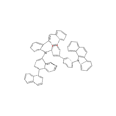 c1cc(-c2cccc(-n3c4ccccc4c4ccc5ccccc5c43)c2)cc(N(c2ccccc2-c2ccc3ccccc3c2)c2ccc(-c3cccc4ccccc34)c3ccccc23)c1